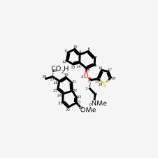 CNCC[C@H](Oc1cccc2ccccc12)c1cccs1.COc1ccc2cc([C@H](C)C(=O)O)ccc2c1